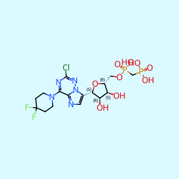 O=P(O)(O)CP(=O)(O)OC[C@H]1O[C@@H](c2cnc3c(N4CCC(F)(F)CC4)nc(Cl)nn23)[C@H](O)[C@@H]1O